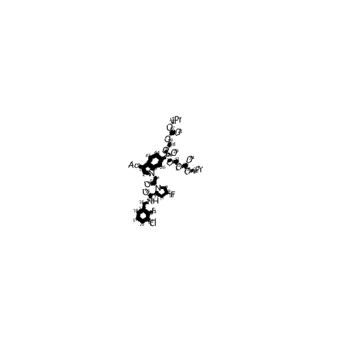 CC(=O)c1cn(CC(=O)N2C[C@H](F)C[C@H]2C(=O)NCc2cccc(Cl)c2F)c2cc(P(=O)(OCOC(=O)OC(C)C)OCOC(=O)OC(C)C)ccc12